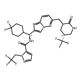 O=C(N[C@H](c1cn2nc(CC3C[C@@H](C(F)(F)F)CNC3=O)ccc2n1)C1CCC(F)(F)CC1)c1ccnn1CC(F)(F)F